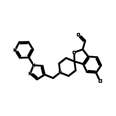 O=CC1OC2(CCN(Cc3cnn(-c4cccnc4)c3)CC2)c2cc(Cl)ccc21